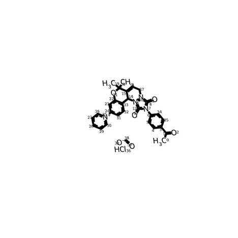 CC(=O)c1ccc(-n2c(=O)n3n(c2=O)C2C(=CC3)C(C)(C)Oc3cc(-[n+]4ccccc4)ccc32)cc1.Cl.O=C[O-]